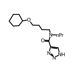 CCCN(CCCCOC1CCCCC1)C(=O)c1c[nH]nn1